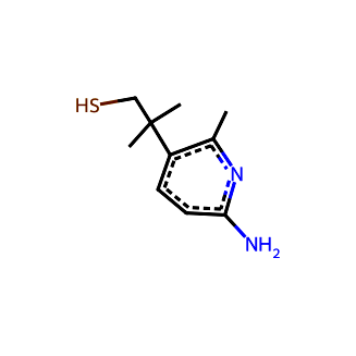 Cc1nc(N)ccc1C(C)(C)CS